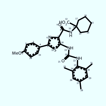 COc1ccc(-c2nc(C(=O)NC3(C(=O)O)CCCCC3)c(NC(=O)Nc3c(C)cc(C)cc3C)s2)cc1